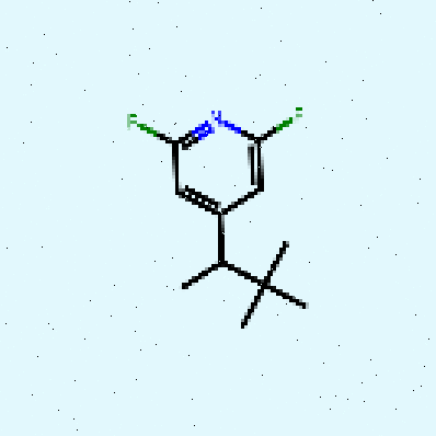 CC(c1cc(F)nc(F)c1)C(C)(C)C